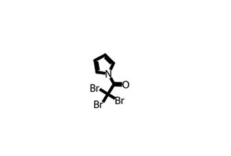 O=C(n1cccc1)C(Br)(Br)Br